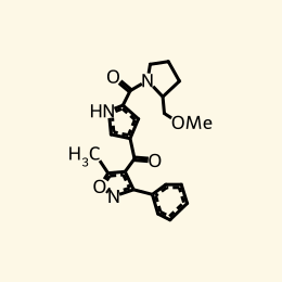 COCC1CCCN1C(=O)c1cc(C(=O)c2c(-c3ccccc3)noc2C)c[nH]1